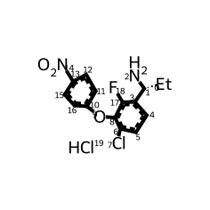 CC[C@@H](N)c1ccc(Cl)c(Oc2ccc([N+](=O)[O-])cc2)c1F.Cl